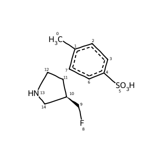 Cc1ccc(S(=O)(=O)O)cc1.FC[C@@H]1CCNC1